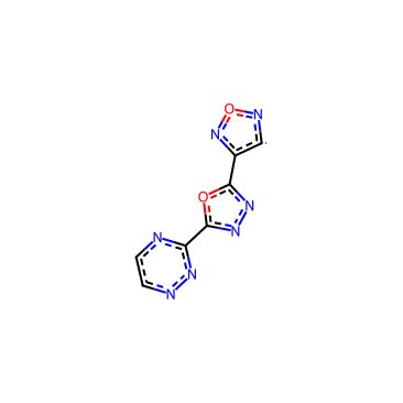 [c]1nonc1-c1nnc(-c2nccnn2)o1